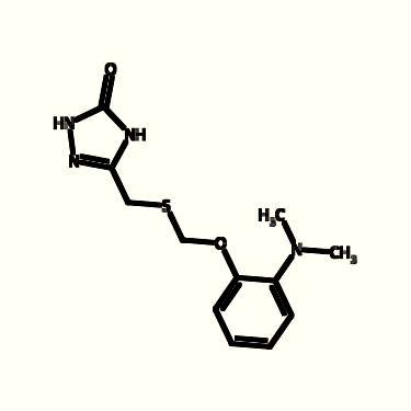 CN(C)c1ccccc1OCSCc1n[nH]c(=O)[nH]1